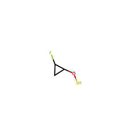 FC1CC1OS